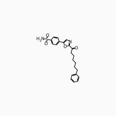 NS(=O)(=O)c1ccc(-c2cnc(C(=O)CCCCCCc3ccccc3)o2)cc1